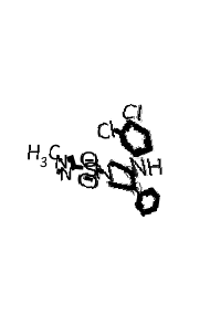 Cn1cnc(S(=O)(=O)N2C[C@H](Nc3ccc(Cl)c(Cl)c3)[C@@H](c3ccccc3)C2)c1